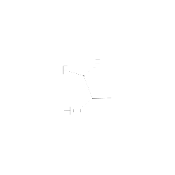 O[C](F)C(F)F